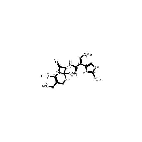 CON=C(C(=O)N[C@H]1C(=O)N2C(C(=O)O)=C(COC(C)=O)CSC12OC)c1csc(N)n1